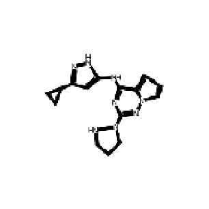 c1cc2c(Nc3cc(C4CC4)n[nH]3)nc(N3CCCN3)nn2c1